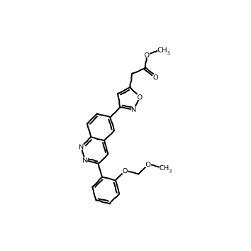 COCOc1ccccc1-c1cc2cc(-c3cc(CC(=O)OC)on3)ccc2nn1